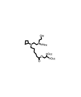 CCCCCCCCC(CCCCCCCC)COC(=O)CCCCCN(CCN(CCO)CCCCCC)C1CCC1